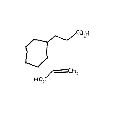 C=CC(=O)O.O=C(O)CCC1CCCCC1